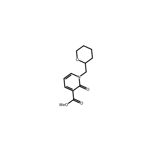 COC(=O)c1cccn(CC2CCCCO2)c1=O